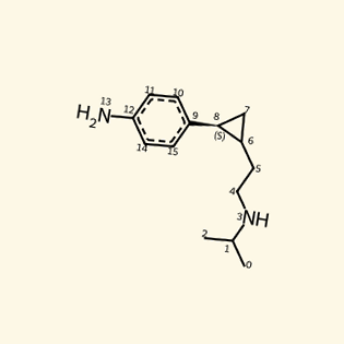 CC(C)NCCC1C[C@@H]1c1ccc(N)cc1